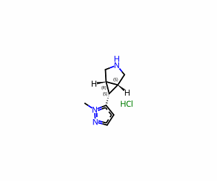 Cl.Cn1nccc1[C@@H]1[C@@H]2CNC[C@@H]21